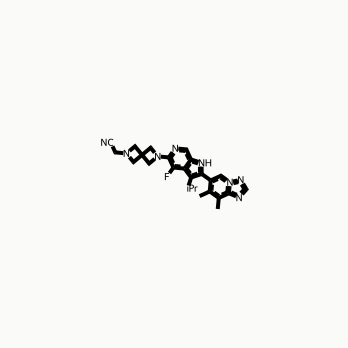 Cc1c(-c2[nH]c3cnc(N4CC5(CN(CC#N)C5)C4)c(F)c3c2C(C)C)cn2ncnc2c1C